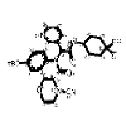 CC(C)(C)c1ccc(N(C(=O)[C@H]2COCCN2C#N)C(C(=O)NC2CCC(F)(F)CC2)c2cccnc2)cc1